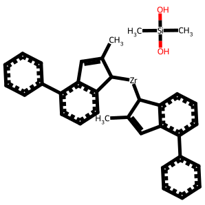 CC1=Cc2c(-c3ccccc3)cccc2[CH]1[Zr][CH]1C(C)=Cc2c(-c3ccccc3)cccc21.C[Si](C)(O)O